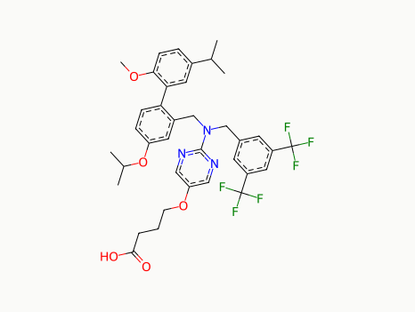 COc1ccc(C(C)C)cc1-c1ccc(OC(C)C)cc1CN(Cc1cc(C(F)(F)F)cc(C(F)(F)F)c1)c1ncc(OCCCC(=O)O)cn1